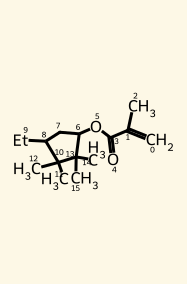 C=C(C)C(=O)OC1CC(CC)C(C)(C)C1(C)C